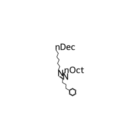 CCCCCCCCCCCCCCCCCn1cc(CCCc2ccccc2)nc1CCCCCCCC